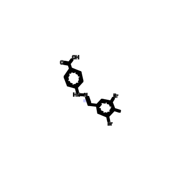 Cc1c(Br)cc(/C=N/Nc2ccc(C(=O)O)cc2)cc1Br